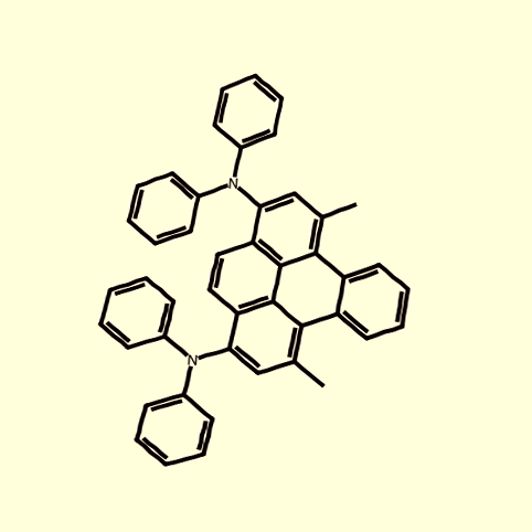 Cc1cc(N(c2ccccc2)c2ccccc2)c2ccc3c(N(c4ccccc4)c4ccccc4)cc(C)c4c5ccccc5c1c2c34